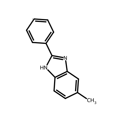 Cc1ccc2[nH]c(-c3cc[c]cc3)nc2c1